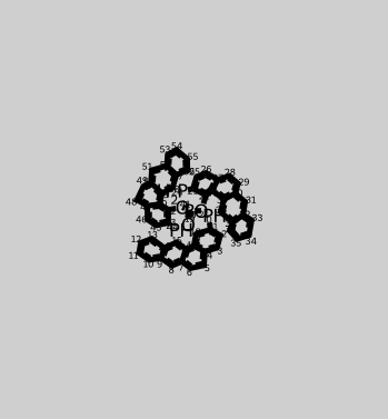 Pc1ccc2ccc3cc4ccccc4cc3c2c1OB(Oc1c(P)ccc2ccc3cc4ccccc4cc3c12)Oc1c(P)ccc2ccc3cc4ccccc4cc3c12